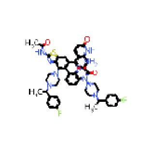 CC(=O)Nc1nc2c(N3CCN(C(C)c4ccc(F)cc4)CC3)c(-c3cccc4c3nc(N)c(=O)n4N3CCN(C(C)c4ccc(F)cc4)CC3)c(-c3cccc4[nH]c(=O)ccc34)cc2s1